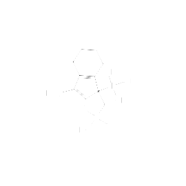 CC[Si](C)(C)C[C]1([Ti]([CH3])([CH3])[CH3])C=C(C)C2=C1CCCC2